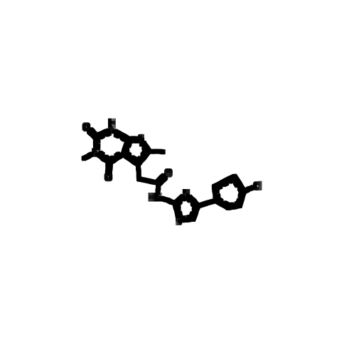 Cc1sc2[nH]c(=O)n(C)c(=O)c2c1CC(=O)Nc1nc(-c2ccc(Cl)cc2)cs1